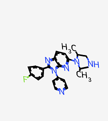 CC1CNCC(C)N1c1ccc2nc(-c3ccc(F)cc3)n(-c3ccncc3)c2n1